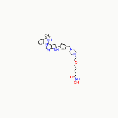 C=C(Nc1ncnc2[nH]c(-c3ccc(CN4CCN(CCOCCCCC(=O)NO)CC4)cc3)cc12)c1ccccc1